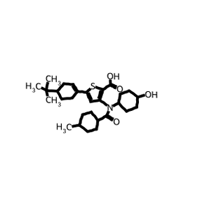 CC1CCC(C(=O)N(c2cc(C3=CCC(C(C)(C)C)CC3)sc2C(=O)O)C2CCC(O)CC2)CC1